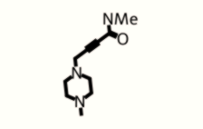 CNC(=O)C#CCN1CCN(C)CC1